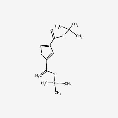 C=C(O[Si](C)(C)C)c1cc(C(=O)OC(C)(C)C)cs1